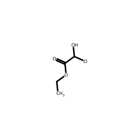 CCOC(=O)C(O)Cl